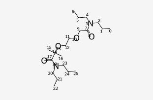 CCCN(CCC)C(=O)COCCOC(C)(C)C(=O)N(CCC)CCC